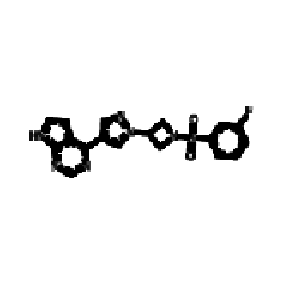 O=S(=O)(c1cccc(F)c1)N1C[C](n2cc(-c3ncnc4[nH]ccc34)cn2)C1